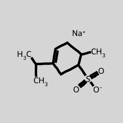 CC(C)C1=CCC(C)C(S(=O)(=O)[O-])C1.[Na+]